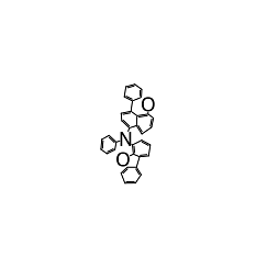 c1ccc(N(c2ccc3c4c(cccc24)Oc2ccccc2-3)c2cccc3c2oc2ccccc23)cc1